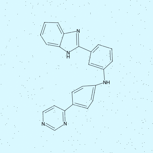 c1cc(Nc2ccc(-c3ccncn3)cc2)cc(-c2nc3ccccc3[nH]2)c1